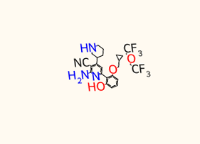 FC(F)(F)COCC(F)(F)F.N#Cc1c(C2CCCNC2)cc(-c2c(O)cccc2OCC2CC2)nc1N